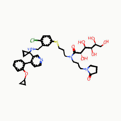 O=C1CCCN1CCCN(CCCSc1ccc(Cl)c(CNC2(c3cnccc3-c3ccccc3OC3CC3)CC2)c1)C(=O)[C@@H](O)[C@@H](O)[C@H](O)[C@@H](O)CO